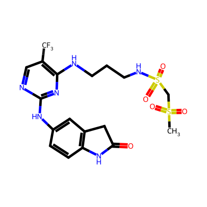 CS(=O)(=O)CS(=O)(=O)NCCCNc1nc(Nc2ccc3c(c2)CC(=O)N3)ncc1C(F)(F)F